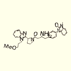 COCCCn1c(C2CCCN(C(=O)CC(N)Cc3ccc(-n4c(=O)n(C)c5ccccc54)cc3)C2)nc2ccccc21